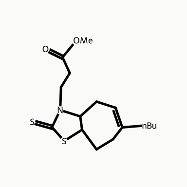 CCCCC1=CCC2C(CC1)SC(=S)N2CCC(=O)OC